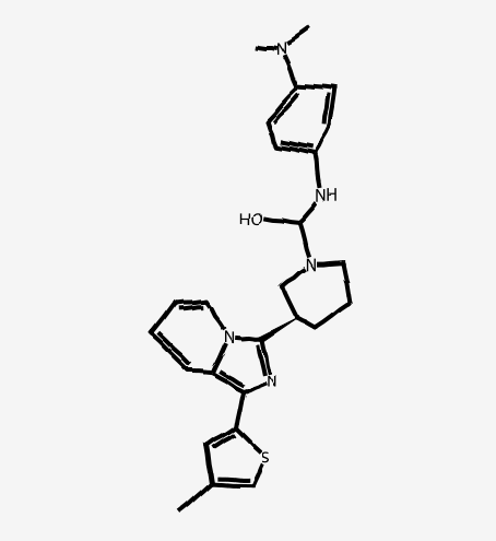 Cc1csc(-c2nc([C@@H]3CCCN(C(O)Nc4ccc(N(C)C)cc4)C3)n3ccccc23)c1